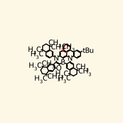 Cc1cc2c3c(c1)N(c1ccc4c(c1)C(C)(C)CCC4(C)C)c1c(oc4cc5c(cc14)C(C)(C)CCC5(C)C)B3c1cc3c(cc1N2c1ccc(C(C)(C)C)cc1-c1ccccc1)C(C)(C)CCC3(C)C